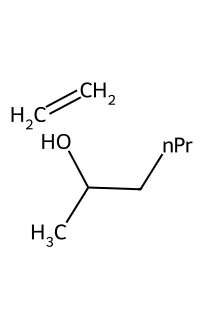 C=C.CCCCC(C)O